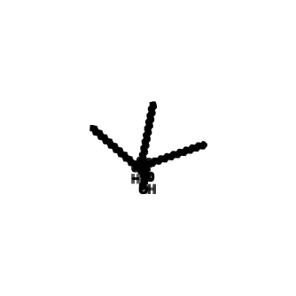 CCCCCCCCCCCCCCCCCCOc1cc(C(=O)NCCO)cc(OCCCCCCCCCCCCCCCCCC)c1OCCCCCCCCCCCCCCCCCC